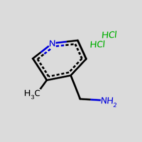 Cc1cnccc1CN.Cl.Cl